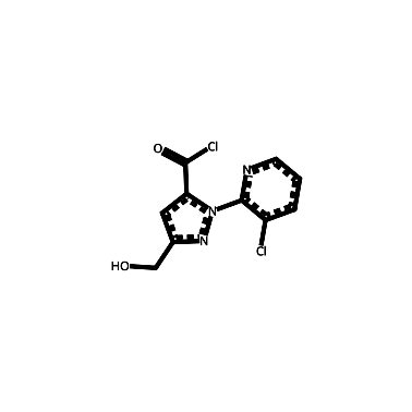 O=C(Cl)c1cc(CO)nn1-c1ncccc1Cl